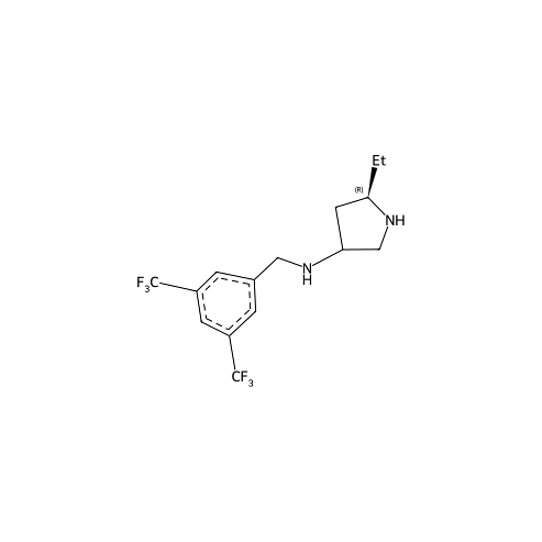 CC[C@@H]1CC(NCc2cc(C(F)(F)F)cc(C(F)(F)F)c2)CN1